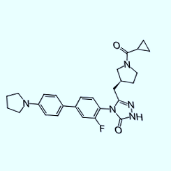 O=C(C1CC1)N1CC[C@@H](Cc2n[nH]c(=O)n2-c2ccc(-c3ccc(N4CCCC4)cc3)cc2F)C1